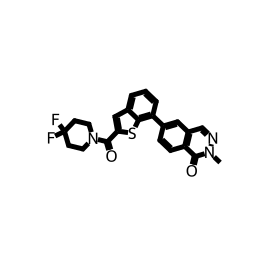 Cn1ncc2cc(-c3cccc4cc(C(=O)N5CCC(F)(F)CC5)sc34)ccc2c1=O